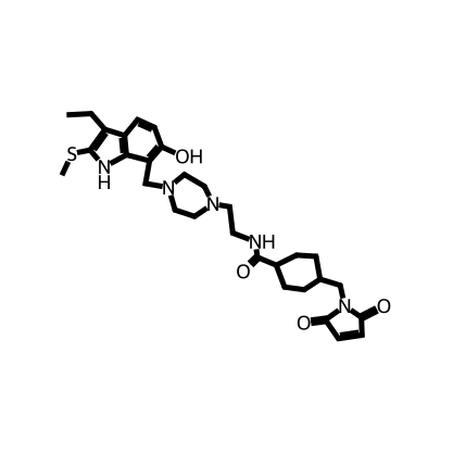 CCc1c(SC)[nH]c2c(CN3CCN(CCNC(=O)C4CCC(CN5C(=O)C=CC5=O)CC4)CC3)c(O)ccc12